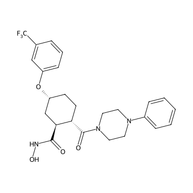 O=C(NO)[C@H]1C[C@H](Oc2cccc(C(F)(F)F)c2)CC[C@@H]1C(=O)N1CCN(c2ccccc2)CC1